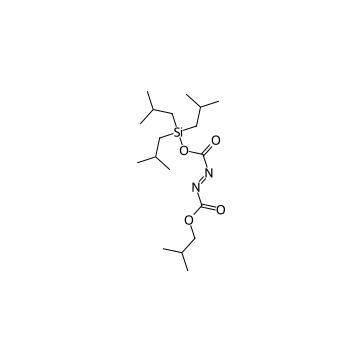 CC(C)COC(=O)/N=N/C(=O)O[Si](CC(C)C)(CC(C)C)CC(C)C